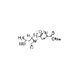 COC(=O)c1ccc(C2(C(=O)O)CN3C(=O)[C@H]([C@@H](C)O)[C@H]3S2)cn1